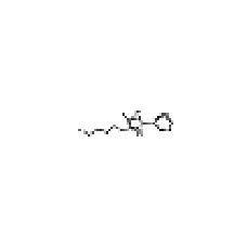 [CH2]CCCCCc1nc(-c2ccccc2)sc1C